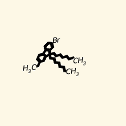 CCCCCCCCC1(CCCCCCCC)c2cc(Br)ccc2-c2ccc(CC)cc21